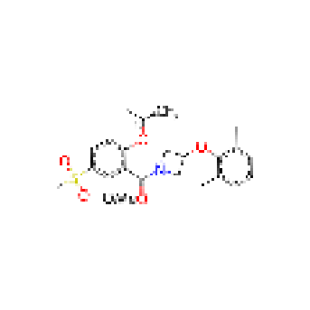 COc1c(S(C)(=O)=O)ccc(O[C@@H](C)C(F)(F)F)c1C(=O)N1CC(Oc2c(C)cccc2C)C1